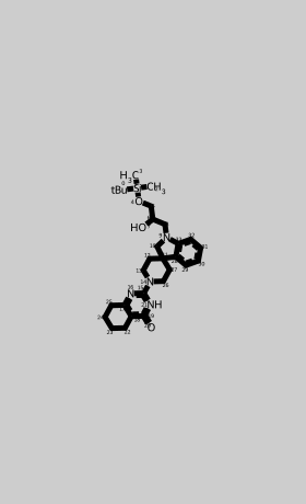 CC(C)(C)[Si](C)(C)OCC(O)CN1CC2(CCN(c3nc4c(c(=O)[nH]3)CCCC4)CC2)c2ccccc21